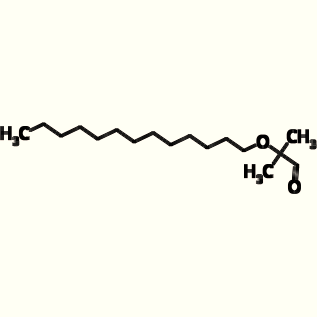 CCCCCCCCCCCCCOC(C)(C)C=O